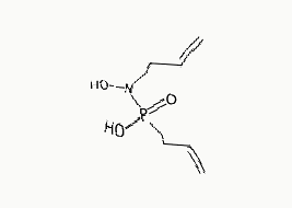 C=CCN(O)P(=O)(O)CC=C